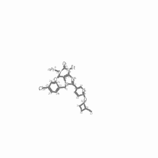 CCCn1c(=O)c2c(nc(-c3ccc(OC4CCC4C)nc3)n2Cc2ccc(Cl)cc2)n(CC)c1=O